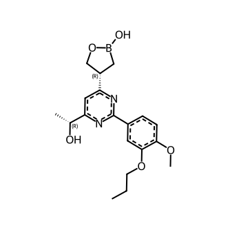 CCCOc1cc(-c2nc([C@@H]3COB(O)C3)cc([C@@H](C)O)n2)ccc1OC